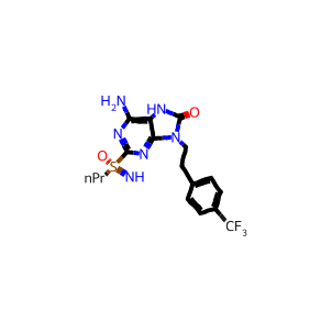 CCCS(=N)(=O)c1nc(N)c2[nH]c(=O)n(CCc3ccc(C(F)(F)F)cc3)c2n1